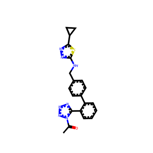 CC(=O)n1nnnc1-c1ccccc1-c1ccc(CNc2nnc(C3CC3)s2)cc1